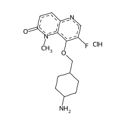 Cl.Cn1c(=O)ccc2ncc(F)c(OCC3CCC(N)CC3)c21